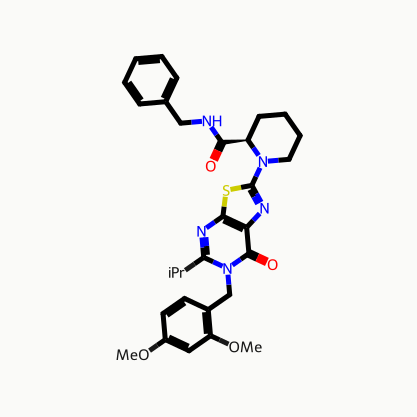 COc1ccc(Cn2c(C(C)C)nc3sc(N4CCCC[C@@H]4C(=O)NCc4ccccc4)nc3c2=O)c(OC)c1